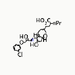 CCCC(CC[C@@H]1CC[C@@H]2[C@@H](/C=C/[C@@H](O)COc3cccc(Cl)c3)[C@H](O)C[C@@H]2OC1)C(=O)O